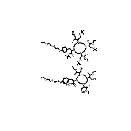 CCOCCOCCOc1ccc(CC(C(=O)O)N2CCN(C(CO)C(=O)OCC)CCN(C(CO)C(=O)OCC)CCN(C(CO)C(=O)OCC)CC2)cc1.CCOCCOCCOc1ccc(CC(C(=O)OC(C)(C)C)N2CCN(C(COC(C)(C)C)C(=O)OCC)CCN(C(COC(C)(C)C)C(=O)OCC)CCN(C(COC(C)(C)C)C(=O)OCC)CC2)cc1